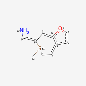 C/C=c1/cco/c1=C/C(=C\N)SC